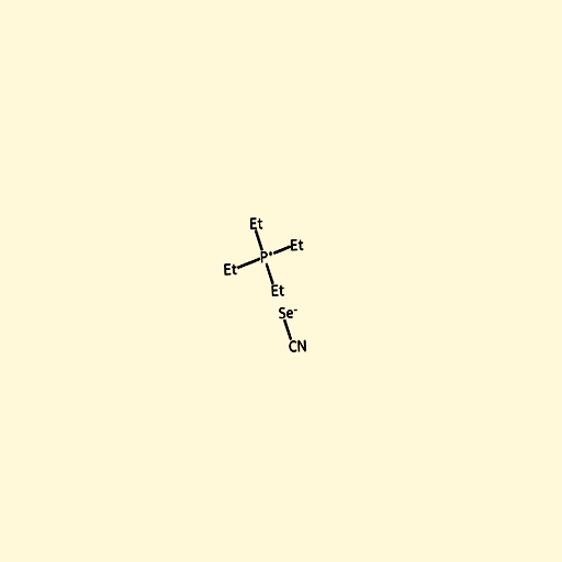 CC[P+](CC)(CC)CC.N#C[Se-]